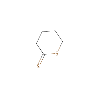 S=C1CCCCS1